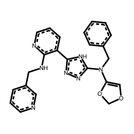 C1=C(N(Cc2ccccc2)c2nnc(-c3cccnc3NCc3cccnc3)[nH]2)OCO1